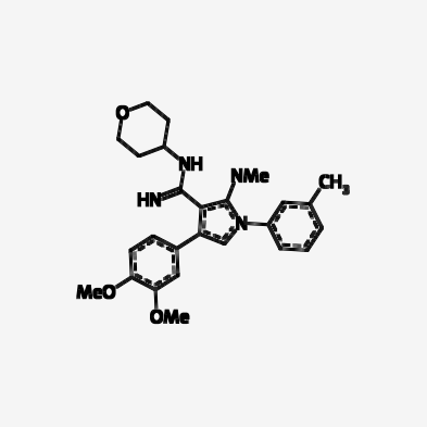 CNc1c(C(=N)NC2CCOCC2)c(-c2ccc(OC)c(OC)c2)cn1-c1cccc(C)c1